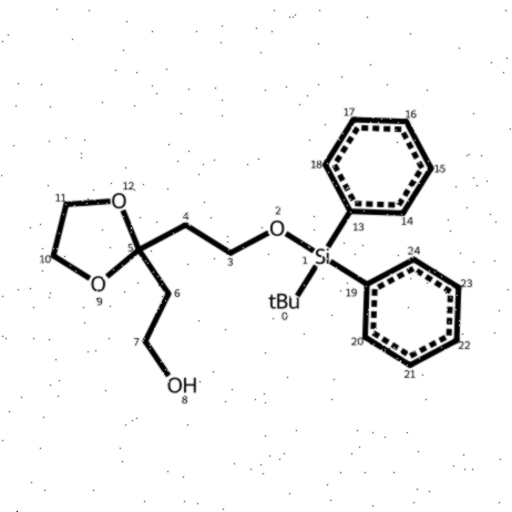 CC(C)(C)[Si](OCCC1(CCO)OCCO1)(c1ccccc1)c1ccccc1